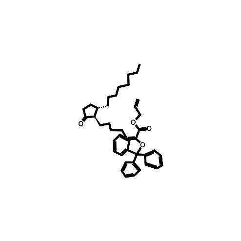 C=CCOC(=O)C(=CCCCC[C@H]1C(=O)CC[C@@H]1CCCCCCCC)OC(c1ccccc1)(c1ccccc1)c1ccccc1